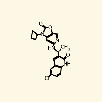 C[C@H](Nc1cc2c(cn1)oc(=O)n2C1CCC1)c1cc2cc(Cl)ccc2[nH]c1=O